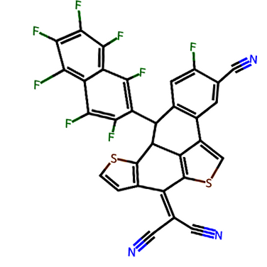 N#CC(C#N)=C1c2ccsc2C2c3c(csc31)-c1cc(C#N)c(F)cc1C2c1c(F)c(F)c2c(F)c(F)c(F)c(F)c2c1F